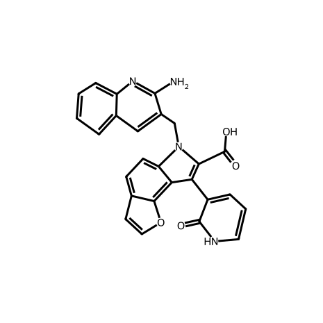 Nc1nc2ccccc2cc1Cn1c(C(=O)O)c(-c2ccc[nH]c2=O)c2c3occc3ccc21